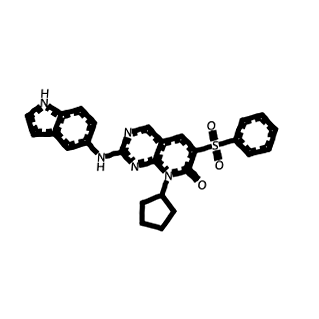 O=c1c(S(=O)(=O)c2ccccc2)cc2cnc(Nc3ccc4[nH]ccc4c3)nc2n1C1CCCC1